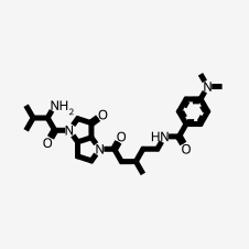 CC(CCNC(=O)c1ccc(N(C)C)cc1)CC(=O)N1CCC2C1C(=O)CN2C(=O)C(N)C(C)C